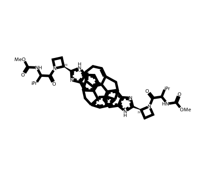 COC(=O)NC(C(=O)N1CC[C@H]1c1nc2cc(C3=CC4=CCC=C3CCc3ccc(c(-c5ccc6[nH]c([C@@H]7CCN7C(=O)C(NC(=O)OC)C(C)C)nc6c5)c3)CC4)ccc2[nH]1)C(C)C